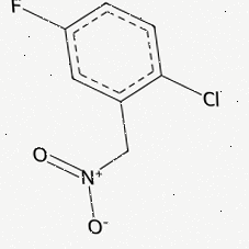 O=[N+]([O-])Cc1cc(F)ccc1Cl